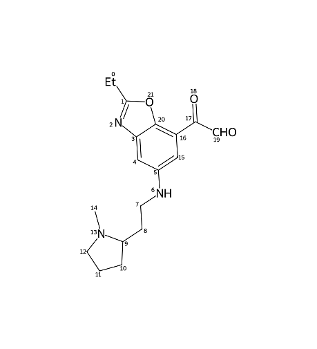 CCc1nc2cc(NCCC3CCCN3C)cc(C(=O)C=O)c2o1